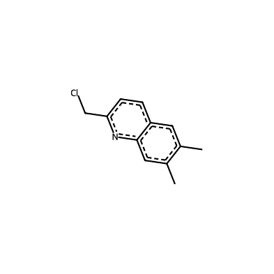 Cc1cc2ccc(CCl)nc2cc1C